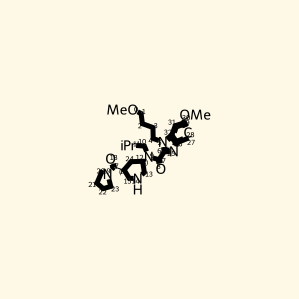 COCCCCn1c(C(=O)N(CC(C)C)[C@@H]2CNC[C@H](C(=O)N3CCCC3)C2)nc2ccc(OC)cc21